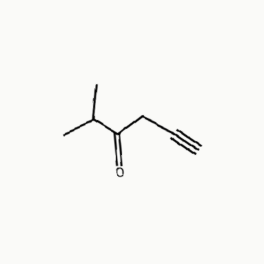 C#CCC(=O)C(C)C